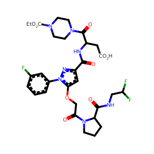 CCOC(=O)N1CCN(C(=O)C(CC(=O)O)NC(=O)c2cc(OCC(=O)N3CCCC3C(=O)NCC(F)F)n(-c3cccc(F)c3)n2)CC1